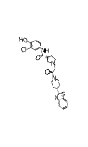 O=C(Nc1ccc(O)c(Cl)c1)[C@@H]1CCN(CC(=O)N2CCC(c3nc4ccccc4s3)CC2)C1